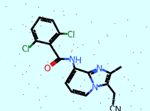 Cc1nc2c(NC(=O)c3c(Cl)cccc3Cl)cccn2c1CC#N